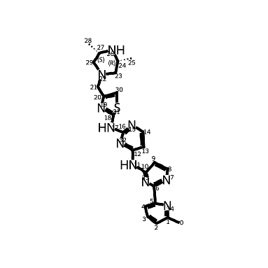 Cc1cccc(-c2nccc(Nc3ccnc(Nc4nc(CN5C[C@@H](C)N[C@@H](C)C5)cs4)n3)n2)n1